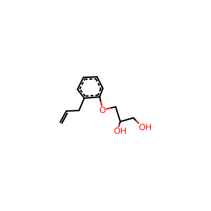 C=CCc1ccccc1OCC(O)CO